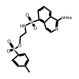 CCCCCCc1nccc2c(S(=O)(=O)NCCOS(=O)(=O)c3ccc(C)cc3)cccc12